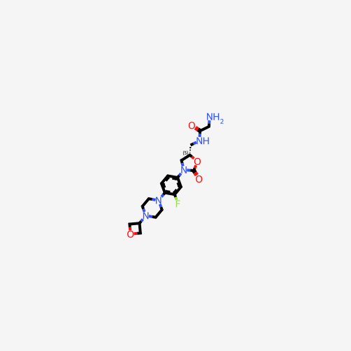 NCC(=O)NC[C@H]1CN(c2ccc(N3CCN(C4COC4)CC3)c(F)c2)C(=O)O1